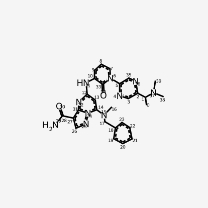 CC(c1cnc(-n2cccc(Nc3cc(N(C)Cc4ccccc4)n4ncc(C(N)=O)c4n3)c2=O)cn1)N(C)C